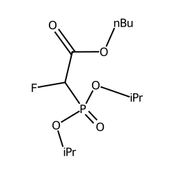 CCCCOC(=O)C(F)P(=O)(OC(C)C)OC(C)C